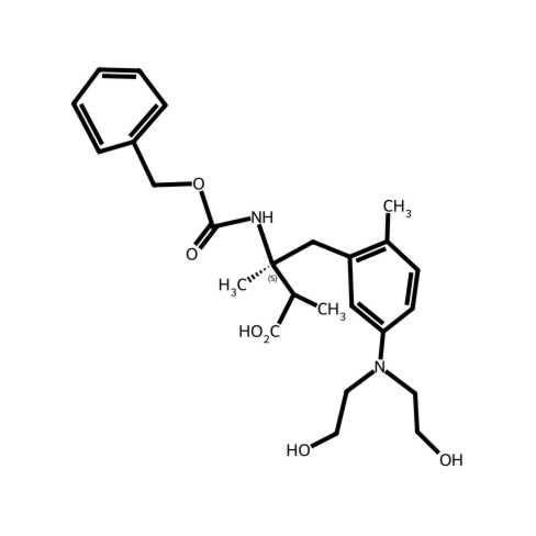 Cc1ccc(N(CCO)CCO)cc1C[C@](C)(NC(=O)OCc1ccccc1)C(C)C(=O)O